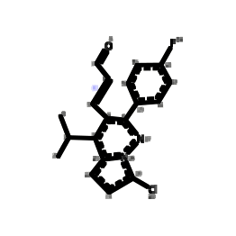 CC(C)c1c(/C=C/C=O)c(-c2ccc(F)cc2)nn2c(Cl)ccc12